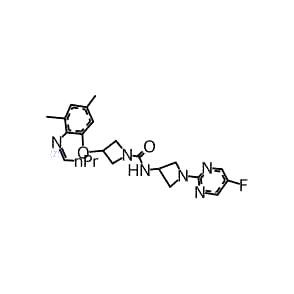 CCC/C=N\c1c(C)cc(C)cc1OC1CN(C(=O)NC2CN(c3ncc(F)cn3)C2)C1